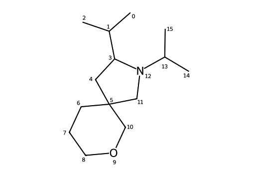 CC(C)C1CC2(CCCOC2)CN1C(C)C